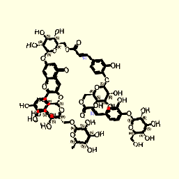 C[C@H]1O[C@@H](OC[C@H]2O[C@@H](Oc3cc4c(=O)cc(O[C@@H]5O[C@H](COC(=O)/C=C/c6ccc(O[C@@H]7O[C@H](COC(=O)/C=C/c8ccc(O[C@@H]9O[C@H](CO)[C@@H](O)[C@H](O)[C@H]9O)c(O)c8)[C@@H](O)[C@H](O)[C@H]7O)c(O)c6)[C@@H](O)[C@H](O)[C@H]5O)cc-4oc3-c3cc(O)c(O)c(O)c3)[C@H](O)[C@@H](O)[C@@H]2O)[C@@H](O)[C@@H](O)[C@@H]1O